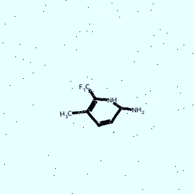 CC1=C(C(F)(F)F)NC(N)C=C1